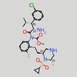 COC(=O)N(C(=O)[C@@H](N)[C@@H](c1cccc(Cl)c1)C(C)C)c1cccc(F)c1CC[C@H]1CNC[C@H](C)N1S(=O)(=O)C1CC1